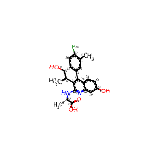 Cc1cc(-c2c(C(C)CO)c(N[C@@H](C)C(=O)O)nc3cc(O)ccc23)ccc1F